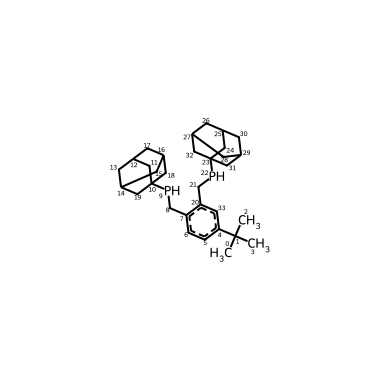 CC(C)(C)c1ccc(CPC23CC4CC(CC(C4)C2)C3)c(CPC23CC4CC(CC(C4)C2)C3)c1